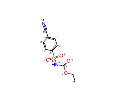 CCOC(=O)NS(=O)(=O)c1ccc(C#N)cc1